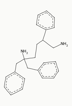 NCC(CCC(N)(Cc1ccccc1)Cc1ccccc1)c1ccccc1